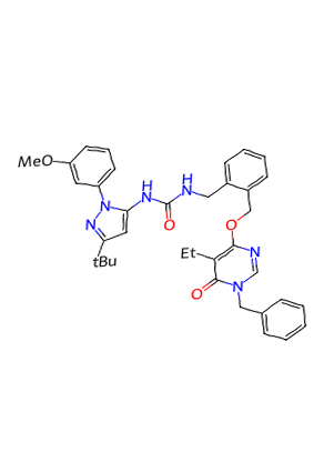 CCc1c(OCc2ccccc2CNC(=O)Nc2cc(C(C)(C)C)nn2-c2cccc(OC)c2)ncn(Cc2ccccc2)c1=O